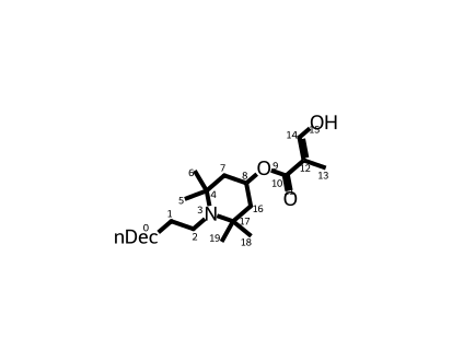 CCCCCCCCCCCCN1C(C)(C)CC(OC(=O)C(C)=CO)CC1(C)C